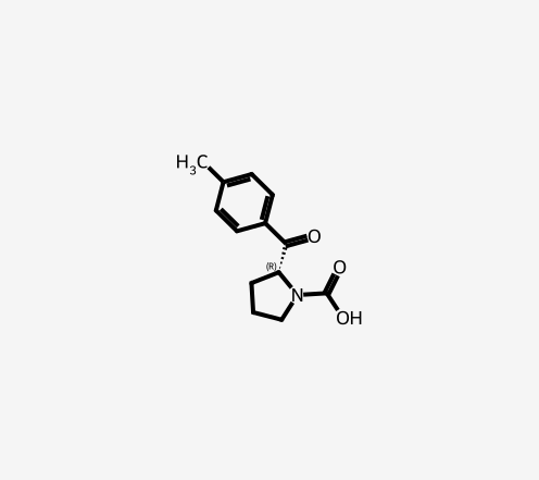 Cc1ccc(C(=O)[C@H]2CCCN2C(=O)O)cc1